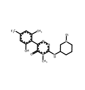 CCN1CCCC(Nc2nnc(-c3c(C)cc(C(F)(F)F)cc3O)c(=O)n2C)C1